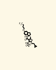 CS(=O)(=O)Nc1c2c(nn1CCC1CC1)C[C@]1(CCc3cc(OCCCC(F)(F)F)ccc31)NC2=O